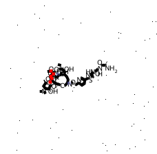 CCC(=O)/N=C1\[C@H](C)C[C@@]2(C)CC/C(=N/OCc3ccc(-c4nc(NC(=O)CNC(=O)[C@H](C)N)cs4)cn3)CC[C@H]([C@H]1C)[C@](C)(O)[C@@H](CC)OC(=O)[C@@](C)(F)C(=O)[C@H](C)[C@H]2O[C@@H]1O[C@H](C)C[C@H](N(C)C)[C@H]1O